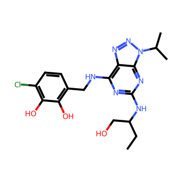 CCC(CO)Nc1nc(NCc2ccc(Cl)c(O)c2O)c2nnn(C(C)C)c2n1